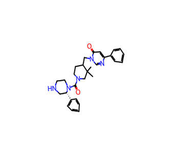 CC1(C)CN(C(=O)N2CCNC[C@H]2c2ccccc2)CCC1Cn1cnc(-c2ccccc2)cc1=O